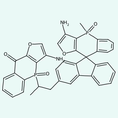 CC(Cc1ccc2c(c1)-c1ccccc1C21c2ccccc2P(C)(=O)c2c(N)coc21)P1(=O)c2ccccc2C(=O)c2occ(N)c21